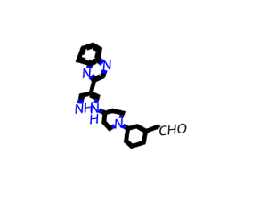 N=C/C(=C\NC1CCN(C2CCCC(CC=O)C2)CC1)c1cnc2ccccc2n1